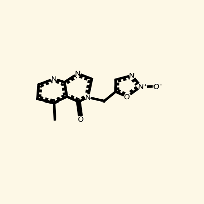 Cc1ccnc2ncn(Cc3cn[n+]([O-])o3)c(=O)c12